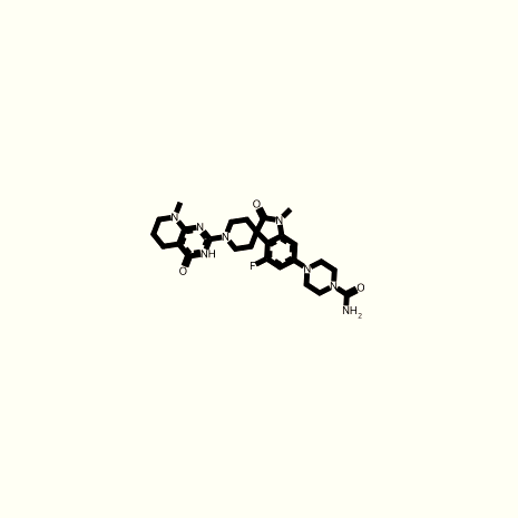 CN1CCCc2c1nc(N1CCC3(CC1)C(=O)N(C)c1cc(N4CCN(C(N)=O)CC4)cc(F)c13)[nH]c2=O